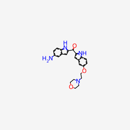 Nc1ccc2[nH]c(C(=O)c3cc4cc(OCCN5CCOCC5)ccc4[nH]3)cc2c1